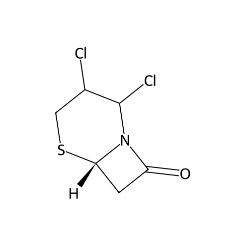 O=C1C[C@@H]2SCC(Cl)C(Cl)N12